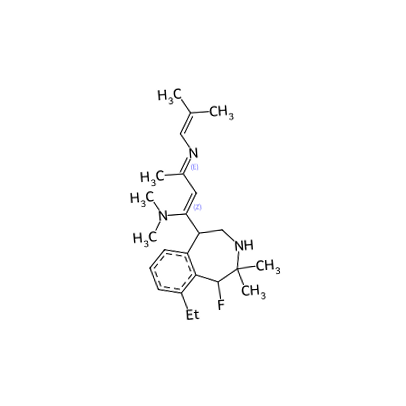 CCc1cccc2c1C(F)C(C)(C)NCC2/C(=C/C(C)=N/C=C(C)C)N(C)C